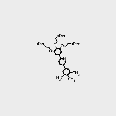 CCCCCCCCCCCCOc1cc(-c2ccc(-c3cc(C)c(C)c(C)c3)cn2)cc(OCCCCCCCCCCCC)c1OCCCCCCCCCCCC